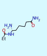 CCC(=O)N[C@H](N)CCCCC(N)=O